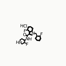 Cl.O=C(N[C@@H]1CCNC[C@@H]1F)c1cn(Cc2ccccc2F)c2cccc(F)c12